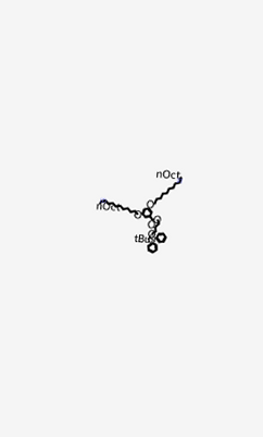 CCCCCCCC/C=C\CCCCCCCCOc1cc(OCCCCCCCC/C=C\CCCCCCCC)cc(C2OCC(CO[Si](c3ccccc3)(c3ccccc3)C(C)(C)C)O2)c1